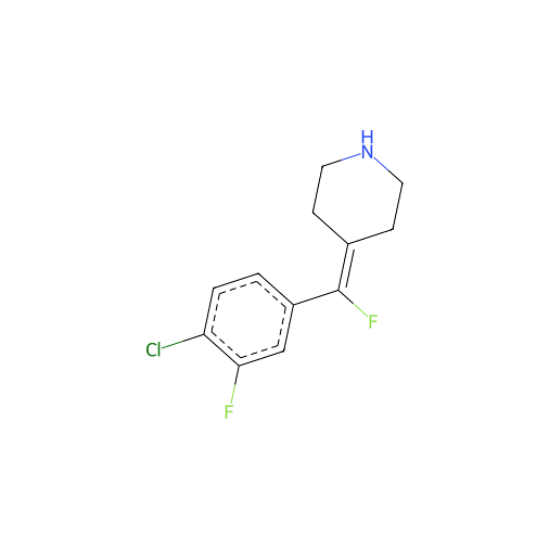 FC(=C1CCNCC1)c1ccc(Cl)c(F)c1